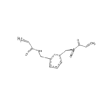 C=CC(=O)NCc1cccc(CNC(=O)C=C)c1